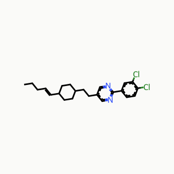 CCC/C=C/C1CCC(CCc2cnc(-c3ccc(Cl)c(Cl)c3)nc2)CC1